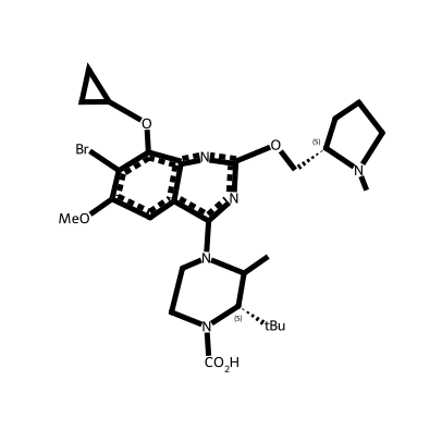 COc1cc2c(N3CCN(C(=O)O)[C@@H](C(C)(C)C)C3C)nc(OC[C@@H]3CCCN3C)nc2c(OC2CC2)c1Br